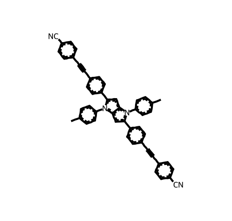 Cc1ccc(-n2c(-c3ccc(C#Cc4ccc(C#N)cc4)cc3)cc3c2cc(-c2ccc(C#Cc4ccc(C#N)cc4)cc2)n3-c2ccc(C)cc2)cc1